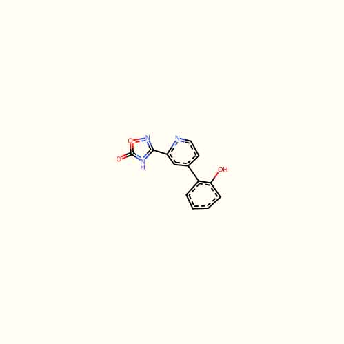 O=c1[nH]c(-c2cc(-c3ccccc3O)ccn2)no1